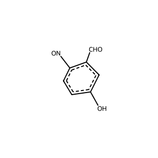 O=Cc1cc(O)ccc1N=O